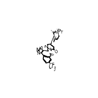 CC(C)N1CCN(c2cnn(Cc3c(-c4ccc(C(F)(F)F)cc4F)nnn3C)c(=O)c2)C[C@@H]1C